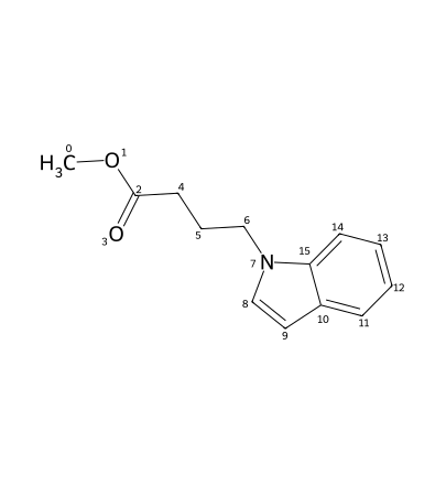 COC(=O)CCCn1ccc2ccccc21